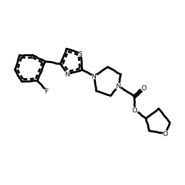 O=C(OC1CCOC1)N1CCN(c2nc(-c3ccccc3F)cs2)CC1